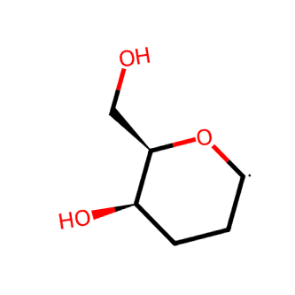 OC[C@H]1O[CH]CC[C@H]1O